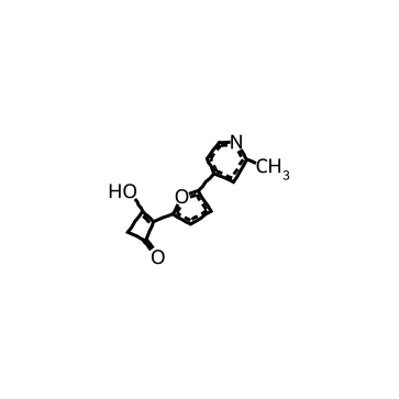 Cc1cc(-c2ccc(C3=C(O)CC3=O)o2)ccn1